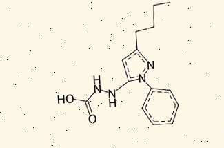 CCCCc1cc(NNC(=O)O)n(-c2ccccc2)n1